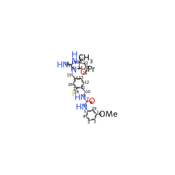 COc1cccc(NC(=O)NCc2ccc(CN3C(=N)NC(C)(CC(C)C)C3=O)cc2F)c1